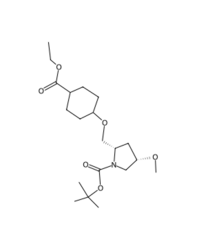 CCOC(=O)C1CCC(OC[C@@H]2C[C@H](OC)CN2C(=O)OC(C)(C)C)CC1